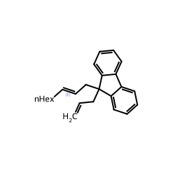 C=CCC1(C/C=C/CCCCCC)c2ccccc2-c2ccccc21